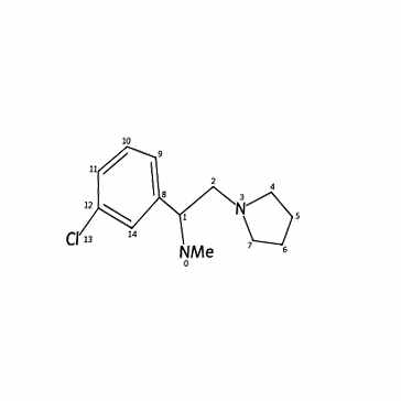 CNC(CN1CCCC1)c1cccc(Cl)c1